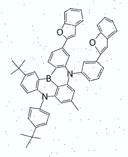 Cc1cc2c3c(c1)N(c1cccc(-c4cc5ccccc5o4)c1)c1cc(-c4cc5ccccc5o4)ccc1B3c1cc(C(C)(C)C)ccc1N2c1ccc(C(C)(C)C)cc1